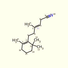 CC1=C(CC/C(C)=C/CC#N)C(C)(C)CCC1